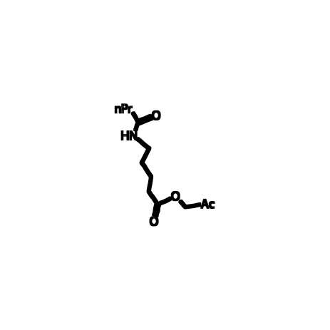 CCCC(=O)NCCCCC(=O)OCC(C)=O